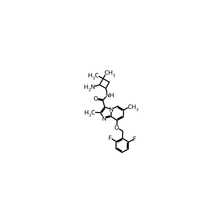 Cc1cc(OCc2c(F)cccc2F)c2nc(C)c(C(=O)NC3CC(C)(C)C3N)n2c1